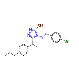 CC(C)Cc1ccc(C(C)c2nnc(S)n2N=Cc2ccc(Br)cc2)cc1